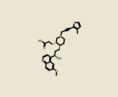 COc1ccc2nccc([C@H](O)CC[C@@H]3CCN(CC#Cc4sccc4C)C[C@H]3CCC(=O)O)c2c1